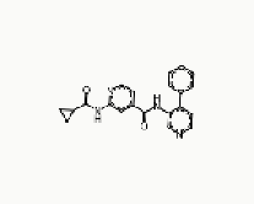 O=C(Nc1cnccc1-c1ccccc1)c1ccnc(NC(=O)C2CC2)c1